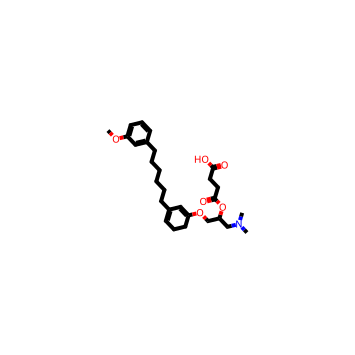 COc1cccc(CCCCCCC2=CCCC(OCC(CN(C)C)OC(=O)CCC(=O)O)=C2)c1